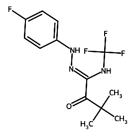 CC(C)(C)C(=O)C(=NNc1ccc(F)cc1)NC(F)(F)F